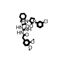 COc1ccc(CC(=O)NC(=N)N[C@H](CC2CCCCC2)C(=O)N[C@@H]2CCN(c3cccc(Cl)c3)C2=O)cc1OC